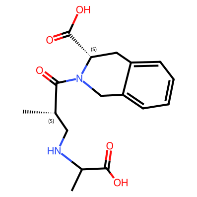 CC(NC[C@H](C)C(=O)N1Cc2ccccc2C[C@H]1C(=O)O)C(=O)O